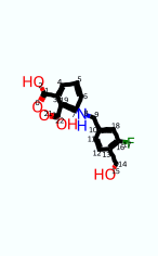 O=C(O)c1cccc(NCc2ccc(CO)c(F)c2)c1C(=O)O